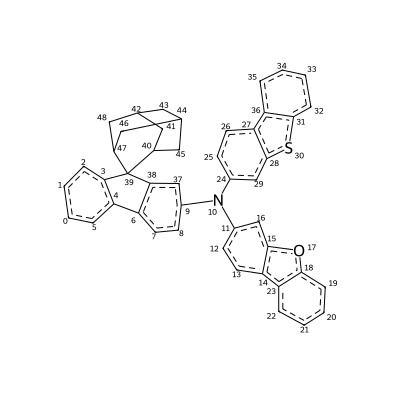 c1ccc2c(c1)-c1ccc(N(c3ccc4c(c3)oc3ccccc34)c3ccc4c(c3)sc3ccccc34)cc1C21C2CC3CC(C2)CC1C3